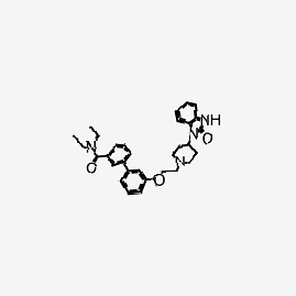 CCN(CC)C(=O)c1cccc(-c2cccc(OCCN3CCC(n4c(=O)[nH]c5ccccc54)CC3)c2)c1